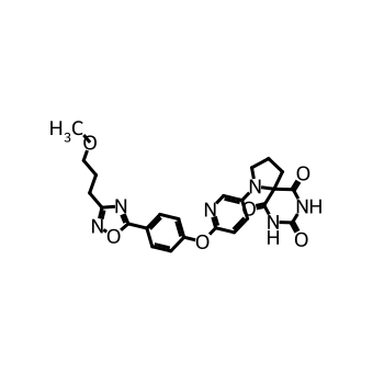 COCCCc1noc(-c2ccc(Oc3ccc(N4CCCC45C(=O)NC(=O)NC5=O)cn3)cc2)n1